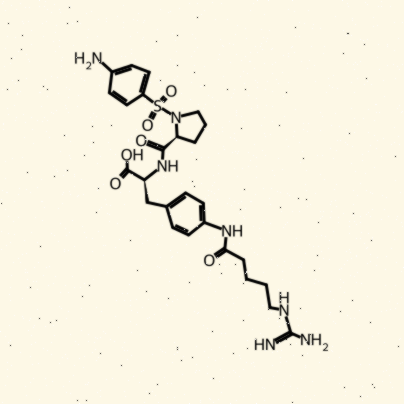 N=C(N)NCCCCC(=O)Nc1ccc(C[C@H](NC(=O)[C@@H]2CCCN2S(=O)(=O)c2ccc(N)cc2)C(=O)O)cc1